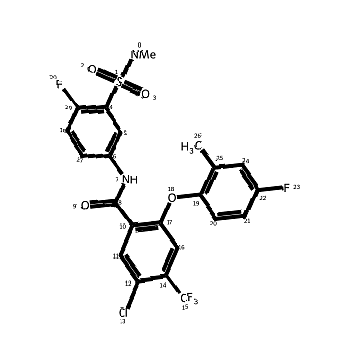 CNS(=O)(=O)c1cc(NC(=O)c2cc(Cl)c(C(F)(F)F)cc2Oc2ccc(F)cc2C)ccc1F